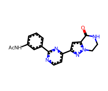 CC(=O)Nc1cccc(-c2nccc(-c3cc4n(n3)CCNC4=O)n2)c1